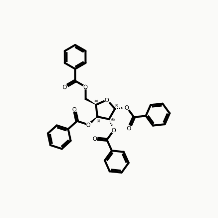 O=C(OC[C@H]1O[C@H](OC(=O)c2ccccc2)[C@H](OC(=O)c2ccccc2)[C@H]1OC(=O)c1ccccc1)c1ccccc1